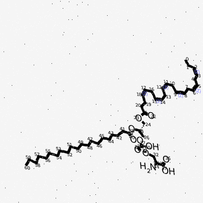 CC/C=C\C/C=C\C/C=C\C/C=C\C/C=C\C/C=C\CCC(=O)OC[C@H](COP(=O)(O)OC[C@H](N)C(=O)O)OC(=O)CCCCCCCCCCCCCCCCCCCC